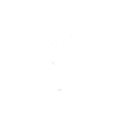 CCC1(OC(=O)C2CCN(S(=O)(=O)CSOOOC)CC2)CC2CC1C1CCCC21